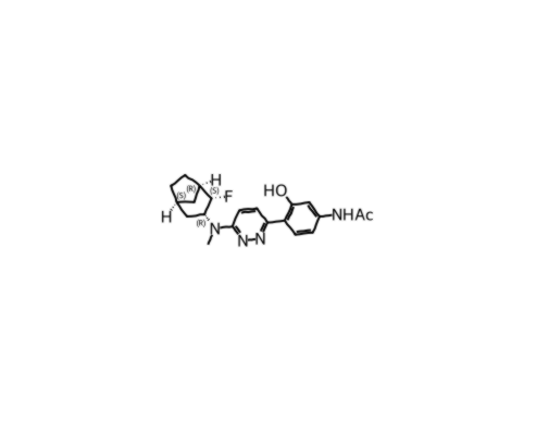 CC(=O)Nc1ccc(-c2ccc(N(C)[C@@H]3C[C@H]4CC[C@H](C4)[C@@H]3F)nn2)c(O)c1